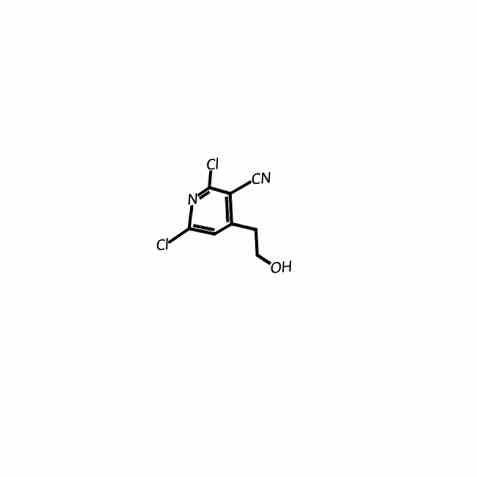 N#Cc1c(CCO)cc(Cl)nc1Cl